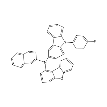 Fc1ccc(-n2c3ccccc3c3cc(N(c4ccc5ccccc5c4)c4cccc5oc6ccccc6c45)ccc32)cc1